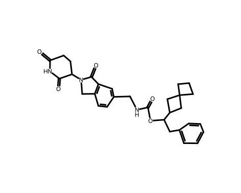 O=C1CCC(N2Cc3ccc(CNC(=O)OC(Cc4ccccc4)C4CC5(CCC5)C4)cc3C2=O)C(=O)N1